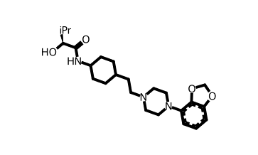 CC(C)[C@H](O)C(=O)NC1CCC(CCN2CCN(c3cccc4c3OCO4)CC2)CC1